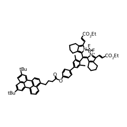 CCOC(=O)/C=C/C1=[N+]2C(=C(c3c(C)cc(-c4ccc(OC(=O)CCCc5ccc6c7cc(C(C)(C)C)cc8cc(C(C)(C)C)cc(c9cccc5c96)c87)cc4)cc3C)c3c4c(c(/C=C/C(=O)OCC)n3[B-]2(F)F)CCCC4)C2=C1CCCC2